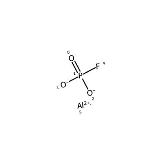 O=P([O-])([O-])F.[Al+2]